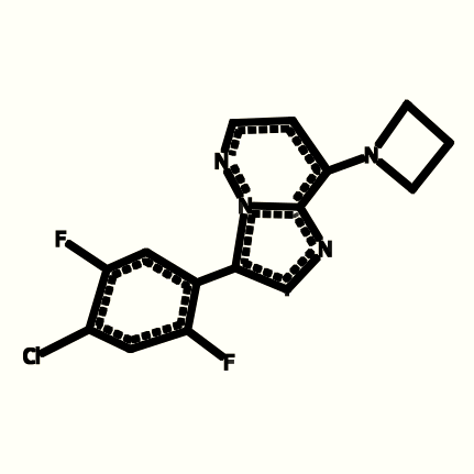 Fc1cc(-c2[c]nc3c(N4CCC4)ccnn23)c(F)cc1Cl